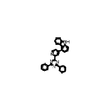 c1ccc(-c2nc(-c3ccccc3)nc(-c3cc(-c4cccc5[nH]c6ccccc6c45)ccn3)n2)cc1